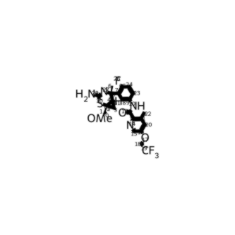 COC[C@]12C[C@H]1[C@@](C)(c1cc(NC(=O)c3ncc(OCC(F)(F)F)cc3C)ccc1F)N=C(N)S2